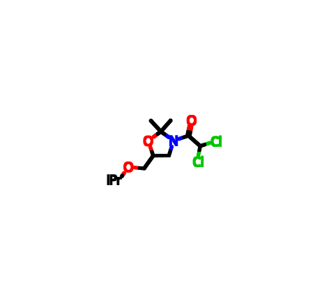 CC(C)OCC1CN(C(=O)C(Cl)Cl)C(C)(C)O1